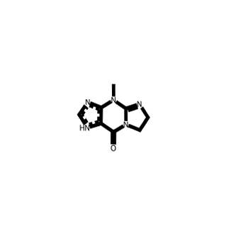 CN1C2=NCCN2C(=O)c2[nH]cnc21